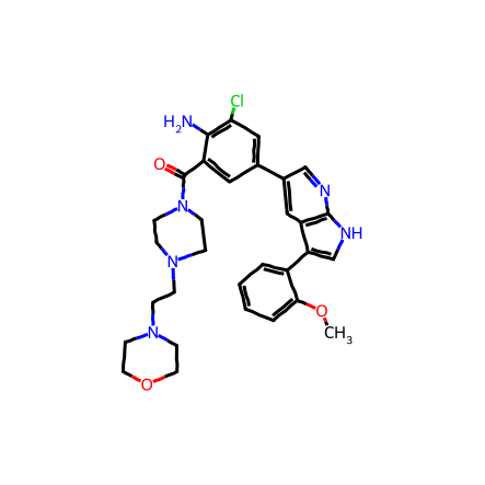 COc1ccccc1-c1c[nH]c2ncc(-c3cc(Cl)c(N)c(C(=O)N4CCN(CCN5CCOCC5)CC4)c3)cc12